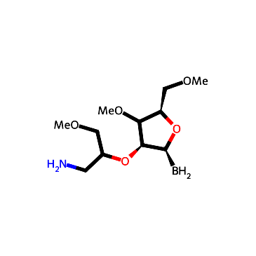 B[C@@H]1O[C@H](COC)C(OC)[C@@H]1OC(CN)COC